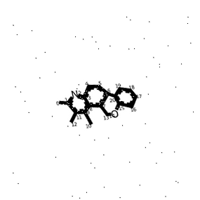 Cc1nc2ccc3c(c2c(C)c1C)COc1ccccc1-3